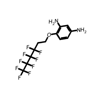 Nc1ccc(OCCC(F)(F)C(F)(F)C(F)(F)C(F)(F)F)c(N)c1